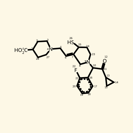 O=C(O)C1CCN(C/C=C2/CN(C(C(=O)C3CC3)c3ccccc3F)CCC2S)CC1